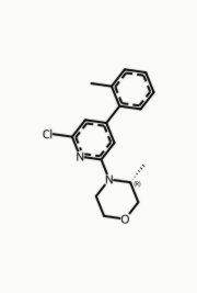 Cc1ccccc1-c1cc(Cl)nc(N2CCOC[C@H]2C)c1